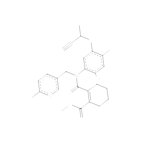 C#CC(C)Oc1cc(N(Cc2ccc(Cl)nc2)C(=O)C2=C(C(=O)OC)CCCC2)c(Cl)cc1Cl